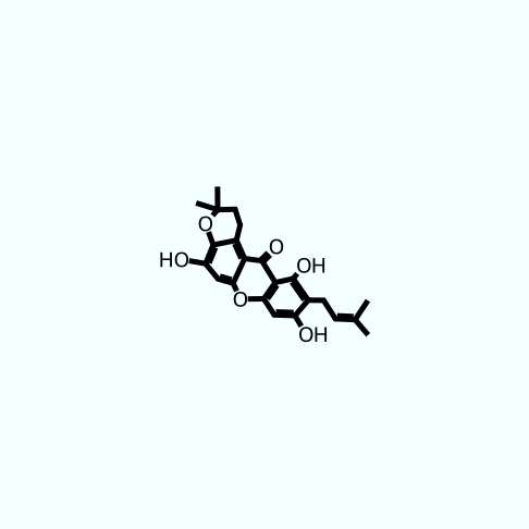 CC(C)=CCc1c(O)cc2oc3cc(O)c4c(c3c(=O)c2c1O)CCC(C)(C)O4